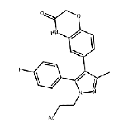 CC(=O)CCn1nc(C)c(-c2ccc3c(c2)NC(=O)CO3)c1-c1ccc(F)cc1